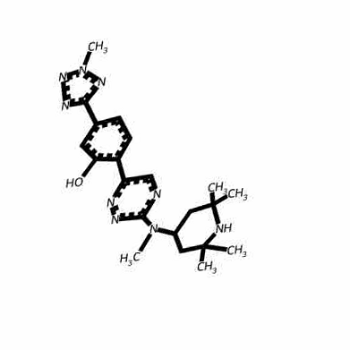 CN(c1ncc(-c2ccc(-c3nnn(C)n3)cc2O)nn1)C1CC(C)(C)NC(C)(C)C1